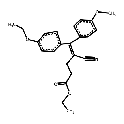 CCOC(=O)CCC(C#N)=C(c1ccc(OC)cc1)c1ccc(OCC)cc1